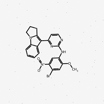 COc1cc(Br)c([N+](=O)[O-])cc1Nc1nccc(-c2c3n(c4ccccc24)CCC3)n1